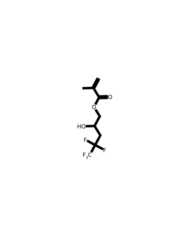 C=C(C)C(=O)OCC(O)CC(F)(F)C(F)(F)F